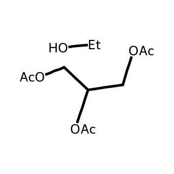 CC(=O)OCC(COC(C)=O)OC(C)=O.CCO